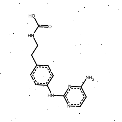 Nc1ccnc(Nc2ccc(CCNC(=O)O)cc2)n1